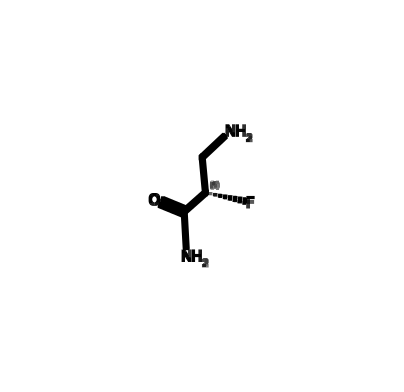 NC[C@H](F)C(N)=O